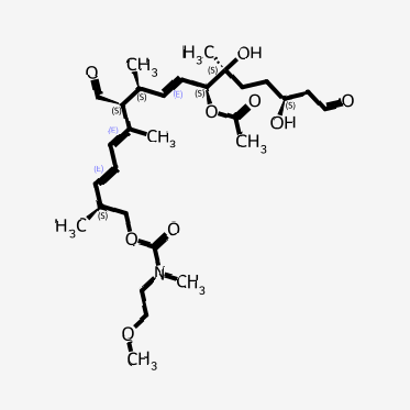 COCCN(C)C(=O)OC[C@@H](C)/C=C/C=C(\C)[C@@H](C=O)[C@@H](C)/C=C/[C@H](OC(C)=O)[C@@](C)(O)CC[C@H](O)CC=O